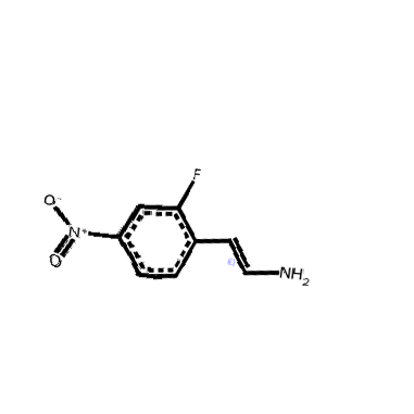 N/C=C/c1ccc([N+](=O)[O-])cc1F